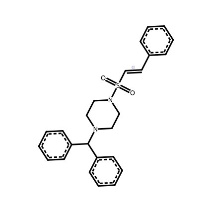 O=S(=O)(/C=C/c1ccccc1)N1CCN(C(c2ccccc2)c2ccccc2)CC1